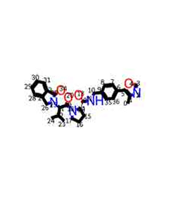 Cc1ncoc1-c1ccc(CNC(=O)[C@@H]2CCCN2C(=O)C(C(C)C)N2Cc3ccccc3C2=O)cc1